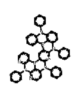 c1ccc(N2c3ccccc3B3c4cc5c(nc4N(c4ccccc4)c4cccc2c43)N(c2ccccc2)c2ccnc3c2B5c2cccnc2N3c2ccccc2)cc1